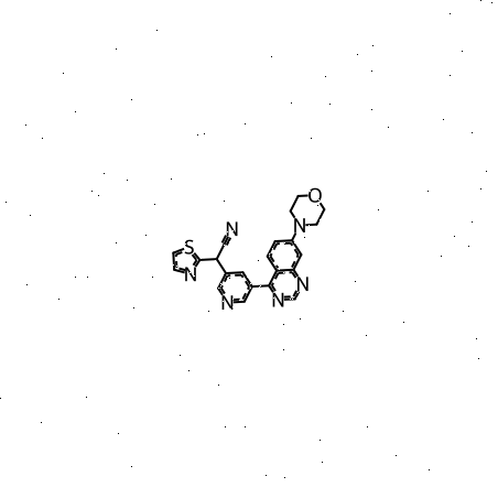 N#CC(c1cncc(-c2ncnc3cc(N4CCOCC4)ccc23)c1)c1nccs1